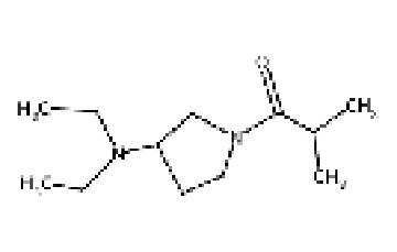 CCN(CC)C1CCN(C(=O)C(C)C)C1